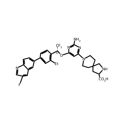 CCc1cc(-c2ccc3ncc(F)cc3c2)ccc1[C@@H](Oc1cc(N2CCC3(CC2)CNC(C(=O)O)C3)nc(N)n1)C(F)(F)F